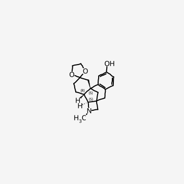 CN1CC23Cc4ccc(O)cc4[C@]4(CC5(CC[C@H]4[C@H]12)OCCO5)C3